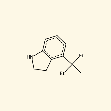 CCC(C)(CC)c1cccc2c1CCN2